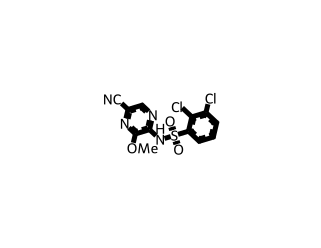 COc1nc(C#N)cnc1NS(=O)(=O)c1cccc(Cl)c1Cl